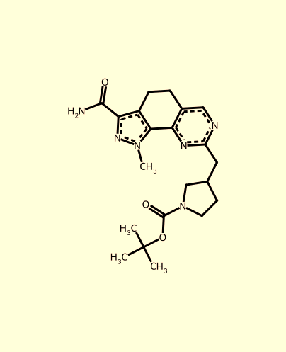 Cn1nc(C(N)=O)c2c1-c1nc(CC3CCN(C(=O)OC(C)(C)C)C3)ncc1CC2